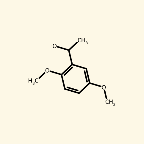 COc1ccc(OC)c(C(C)[O])c1